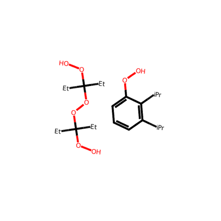 CC(C)c1cccc(OO)c1C(C)C.CCC(CC)(OO)OOC(CC)(CC)OO